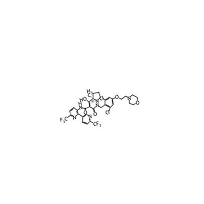 C[C@]12CCCN1N(Cc1c(Cl)cc(OCCN3CCOCC3)cc1Cl)C(=O)C(C(=O)Nc1ccc(C(F)(F)F)nc1-c1ccc(C(F)(F)F)nc1)=C2O